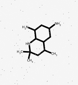 CC1CC(C)(C)NC2C(N)CC(N)CC12